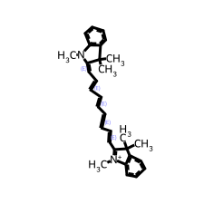 CN1/C(=C/C=C/C=C/C=C/C=C/C2=[N+](C)c3ccccc3C2(C)C)C(C)(C)c2ccccc21